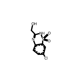 O=S1(=O)NC(CO)=Nc2ccc(Cl)cc21